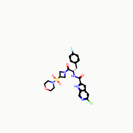 O=C(N[C@@H](Cc1ccc(F)cc1)C(=O)N1CC(S(=O)(=O)N2CCOCC2)C1)c1cc2cc(Cl)ncc2[nH]1